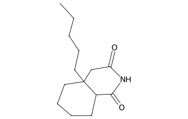 CCCCCC12CCCCC1C(=O)NC(=O)C2